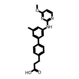 COc1ccnc(Nc2cc(C)cc(-c3ccc(CCC(=O)O)cc3)c2)n1